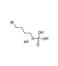 O=P(O)(O)OCCCCBr.[KH]